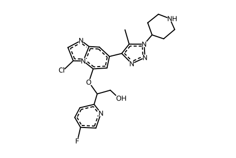 Cc1c(-c2cc(OC(CO)c3ccc(F)cn3)n3c(Cl)cnc3c2)nnn1C1CCNCC1